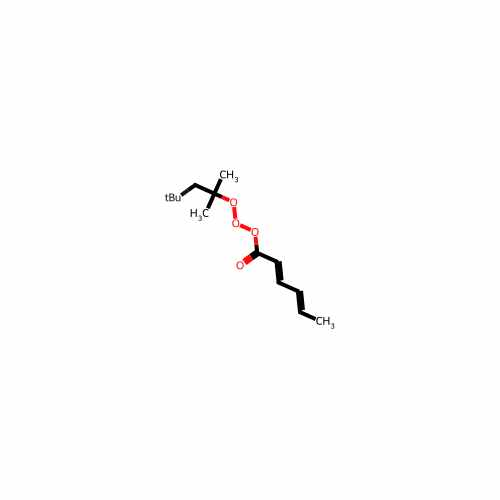 CC=CC=CC(=O)OOOC(C)(C)CC(C)(C)C